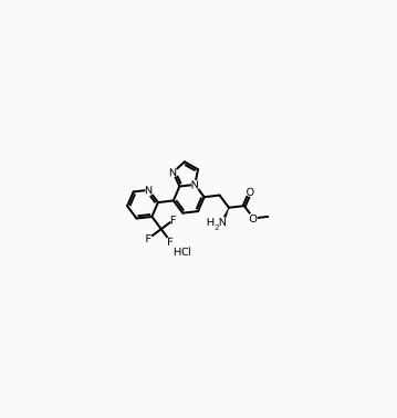 COC(=O)[C@@H](N)Cc1ccc(-c2ncccc2C(F)(F)F)c2nccn12.Cl